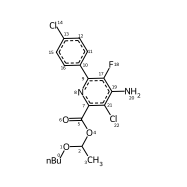 CCCCOC(C)OC(=O)c1nc(-c2ccc(Cl)cc2)c(F)c(N)c1Cl